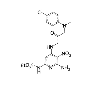 CCOC(=O)Nc1cc(NCC(=O)CN(C)c2ccc(Cl)cc2)c([N+](=O)[O-])c(N)n1